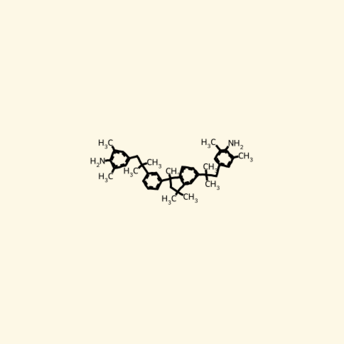 Cc1cc(CC(C)(C)c2cccc(C3(C)CC(C)(C)c4cc(C(C)(C)Cc5cc(C)c(N)c(C)c5)ccc43)c2)cc(C)c1N